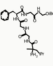 CC(C)COCNC(=O)CNC(=O)[C@H](Cc1ccccc1)NC(=O)CNC(=O)CNC(=O)C(C)(P)CC(C)C